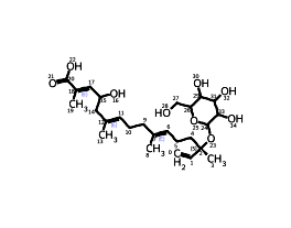 C=C[C@](C)(CC/C=C(\C)CC/C=C(\C)CC(O)/C=C(\C)C(=O)O)OC1OC(CO)C(O)C(O)C1O